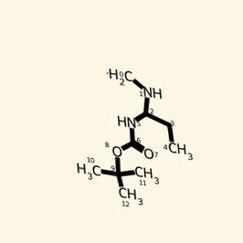 [CH2]NC(CC)NC(=O)OC(C)(C)C